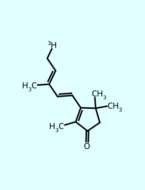 [3H]CC=C(C)C=CC1=C(C)C(=O)CC1(C)C